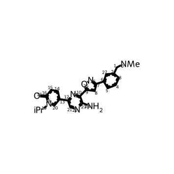 CNCc1cccc(-c2cc(-c3nc(-c4ccc(=O)n(C(C)C)c4)cnc3N)on2)c1